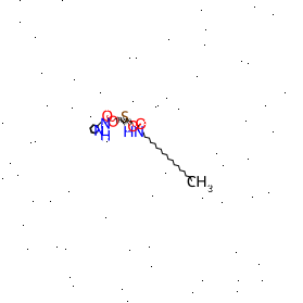 CCCCCCCCCCCCCCCCCCNC(=O)OC[C@H]1C[C@H](COC(=O)NCc2ccccn2)S1